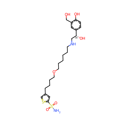 NS(=O)(=O)c1cc(CCCCOCCCCCCNC[C@@H](O)c2ccc(O)c(CO)c2)cs1